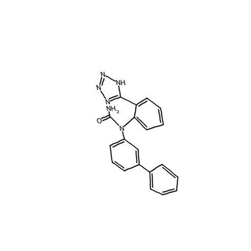 NC(=O)N(c1cccc(-c2ccccc2)c1)c1ccccc1-c1nnn[nH]1